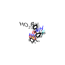 C=Cc1ccccc1S(=O)(=O)Nc1ccc(F)cc1C(=O)Nc1ccc(C(=O)O)cc1